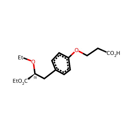 CCOC(=O)[C@H](Cc1ccc(OCCC(=O)O)cc1)OCC